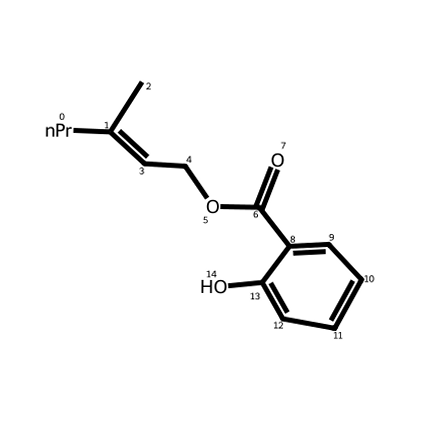 CCCC(C)=CCOC(=O)c1ccccc1O